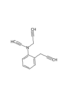 C#CCc1ccccc1N(C#C)CC#C